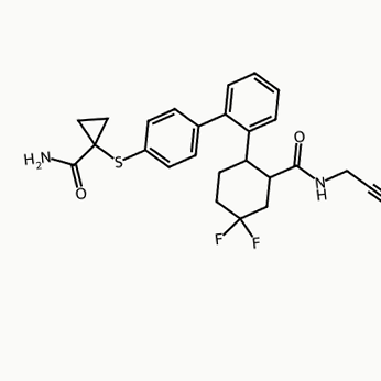 N#CCNC(=O)C1CC(F)(F)CCC1c1ccccc1-c1ccc(SC2(C(N)=O)CC2)cc1